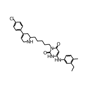 CCc1cc(Nc2cc(=O)n(CCCCCC3CC(c4ccc(Cl)cc4)=CCN3)c(=O)[nH]2)ccc1C